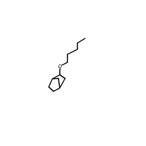 CCCCCOC1CC2CCC1C2